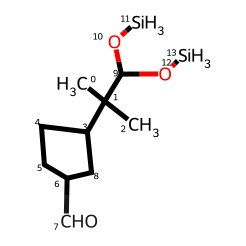 CC(C)(C1CCC(C=O)C1)C(O[SiH3])O[SiH3]